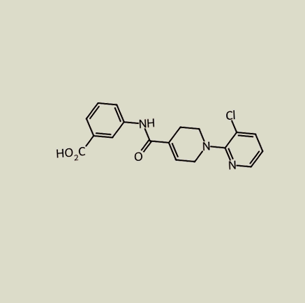 O=C(Nc1cccc(C(=O)O)c1)C1=CCN(c2ncccc2Cl)CC1